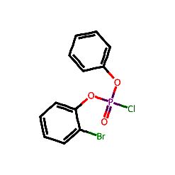 O=P(Cl)(Oc1ccccc1)Oc1ccccc1Br